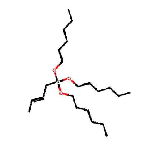 CC=CC[Si](OCCCCCC)(OCCCCCC)OCCCCCC